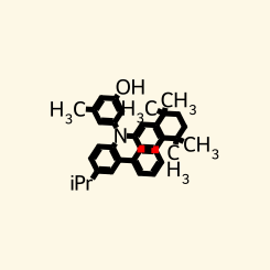 Cc1cc(O)cc(N(c2ccc3c(c2)C(C)(C)CCC3(C)C)c2ccc(C(C)C)cc2-c2ccccc2)c1